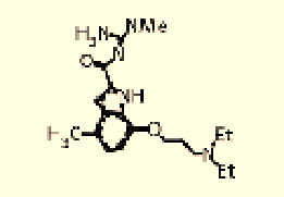 CCN(CC)CCCOc1ccc(C)c2cc(C(=O)N=C(N)NC)[nH]c12